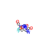 COc1ccc(CN(Cc2ccc(OC)cc2)S(=O)(=O)c2c(C(F)(F)F)ccc(-c3ccn4cncc4c3)c2-c2nnnn2Cc2ccc(OC)cc2)cc1